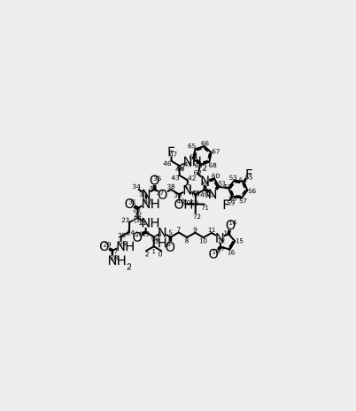 CC(C)[C@H](NC(=O)CCCCCN1C(=O)C=CC1=O)C(=O)N[C@@H](CCCNC(N)=O)C(=O)NN(C)C(=O)OCC(O)N(CC[C@H](N)CF)[C@@H](c1nc(-c2cc(F)ccc2F)cn1Cc1ccccc1)C(C)(C)C